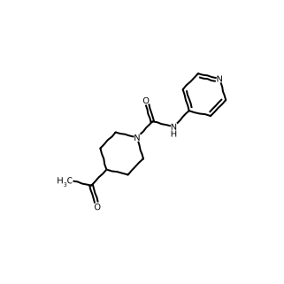 CC(=O)C1CCN(C(=O)Nc2ccncc2)CC1